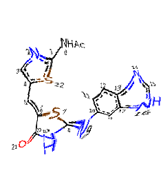 CC(=O)Nc1ncc(C=C2SC(=Nc3ccc4nc[nH]c4c3)NC2=O)s1